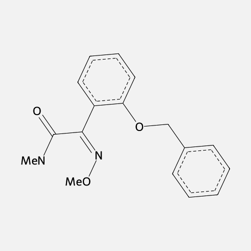 CNC(=O)/C(=N\OC)c1ccccc1OCc1ccccc1